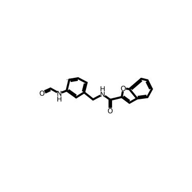 O=CNc1[c]ccc(CNC(=O)c2cc3ccccc3o2)c1